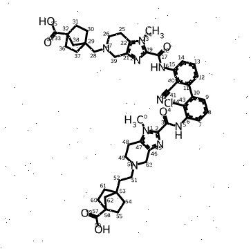 Cn1c(C(=O)Nc2cccc(-c3cccc(NC(=O)c4nc5c(n4C)CCN(CC46CCC(C(=O)O)(CC4)C6)C5)c3C#N)c2Cl)nc2c1CCN(CCC13CCC(C(=O)O)(CC1)C3)C2